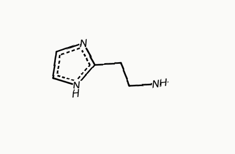 [NH]CCc1ncc[nH]1